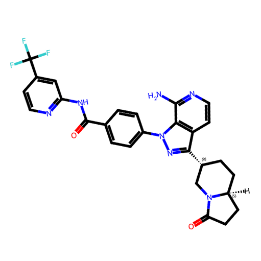 Nc1nccc2c([C@@H]3CC[C@H]4CCC(=O)N4C3)nn(-c3ccc(C(=O)Nc4cc(C(F)(F)F)ccn4)cc3)c12